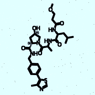 COCCC(=O)NC(CC(C)C)C(=O)NC(C)C(=O)N1C[C@H](O)C[C@H]1C(=O)NCc1ccc(-c2scnc2C)cc1